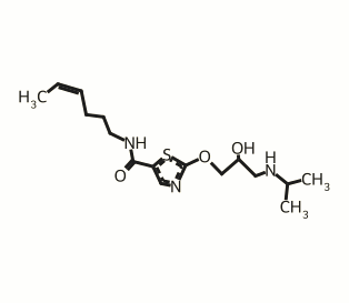 C/C=C\CCCNC(=O)c1cnc(OCC(O)CNC(C)C)s1